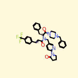 O=C([C@H](Cc1ccccc1)N(Cc1ccc(N2CCCC2=O)nc1)C(=O)/C=C/c1ccc(C(F)(F)F)cc1)N1CCN(Cc2ccccc2)CC1